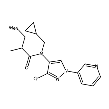 CSCC(C)C(=O)N(CC1CC1)c1cn(-c2cccnc2)nc1Cl